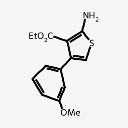 CCOC(=O)c1c(-c2cccc(OC)c2)csc1N